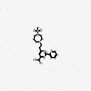 CCC(CC)c1cc(CCN2CCCN(S(C)(=O)=O)CC2)nc(-c2ccccn2)n1